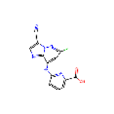 N#Cc1cnc2c(Nc3cccc(C(=O)O)n3)cc(Cl)nn12